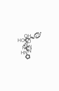 CN1CCN(C=C[C@H]2O[C@@H](n3cnc4c(NC5CCCC5)ncnc43)[C@H](O)[C@@H]2O)CC1